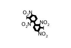 O=[N+]([O-])c1ccc(-c2ccc([N+](=O)[O-])c(I)c2[N+](=O)[O-])c([N+](=O)[O-])c1I